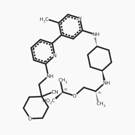 Cc1cnc(N[C@H]2CC[C@H](N[C@H](C)CO[C@H](C)C(=O)O)CC2)cc1-c1cccc(NCC2(C#N)CCOCC2)n1